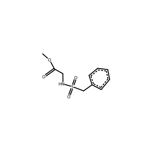 COC(=O)CNS(=O)(=O)Cc1ccccc1